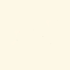 COCC(C)(C)c1cccc(C(=O)O)c1